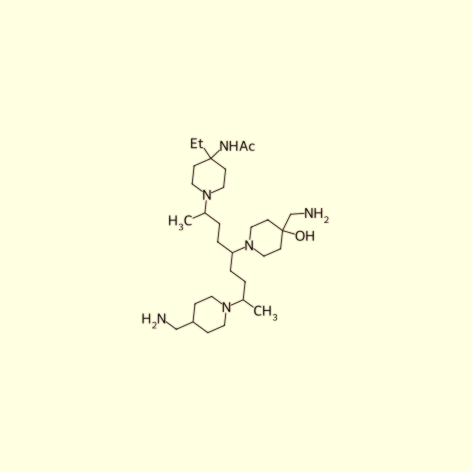 CCC1(NC(C)=O)CCN(C(C)CCC(CCC(C)N2CCC(CN)CC2)N2CCC(O)(CN)CC2)CC1